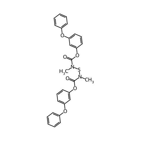 CN(SN(C)C(=O)Oc1cccc(Oc2ccccc2)c1)C(=O)Oc1cccc(Oc2ccccc2)c1